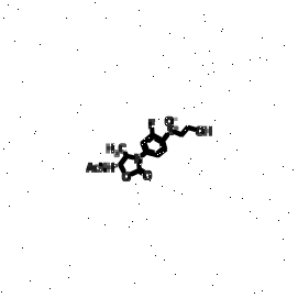 CC(=O)N[C@H]1OC(=O)N(c2ccc([S+]([O-])CCO)c(F)c2)C1C